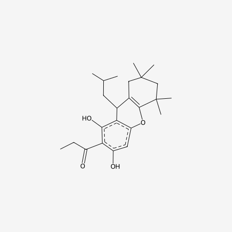 CCC(=O)c1c(O)cc2c(c1O)C(CC(C)C)C1=C(O2)C(C)(C)CC(C)(C)C1